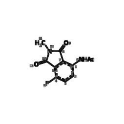 CC(=O)Nc1ccc(F)c2c1C(=O)N(C)C2=O